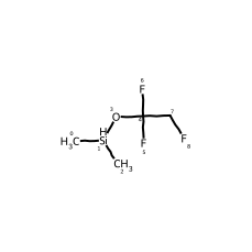 C[SiH](C)OC(F)(F)CF